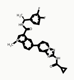 C[C@H](NC(=O)c1cn(C)c2ccc(-c3ccn4nc(NC(=O)C5CC5)nc4c3)cc12)c1ccc(F)c(F)c1